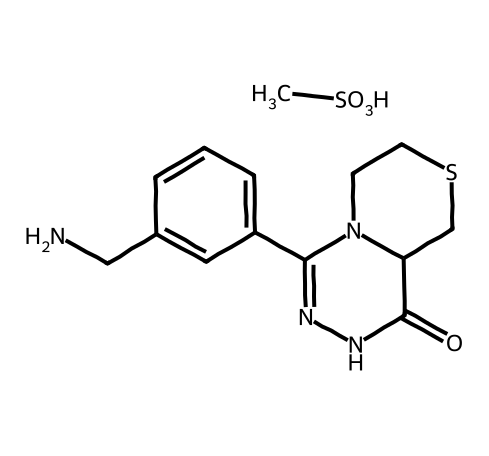 CS(=O)(=O)O.NCc1cccc(C2=NNC(=O)C3CSCCN23)c1